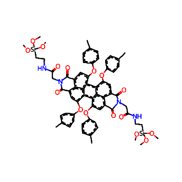 CO[Si](CCNC(=O)CN1C(=O)c2cc(Oc3ccc(C)cc3)c3c4c(Oc5ccc(C)cc5)cc5c6c(cc(Oc7ccc(C)cc7)c(c7c(Oc8ccc(C)cc8)cc(c2c37)C1=O)c64)C(=O)N(CC(=O)NCC[Si](OC)(OC)OC)C5=O)(OC)OC